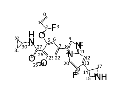 C=CC(F)Oc1cc(-c2cnc3cc(C4CNC4)c(F)cn23)cc(OC)c1C(=O)NC1CC1